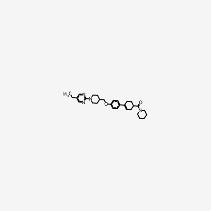 CCc1cnc(N2CCC(COc3ccc(C4=CCC(C(=O)N5CCCCC5)CC4)cc3)CC2)nc1